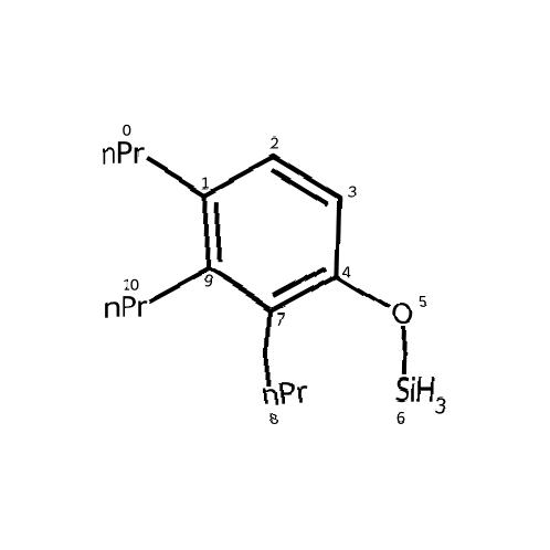 CCCc1ccc(O[SiH3])c(CCC)c1CCC